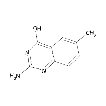 Cc1ccc2nc(N)nc(O)c2c1